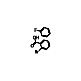 Fc1ccccc1.O=C(O)c1ccccc1Br